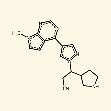 Cn1ccc2c(-c3cnn(C(CC#N)C4CCNC4)c3)ncnc21